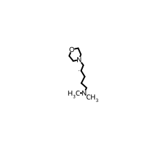 CN(C)CCC[CH]CN1CCOCC1